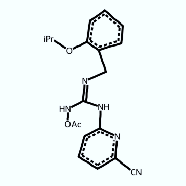 CC(=O)ONC(=NCc1ccccc1OC(C)C)Nc1cccc(C#N)n1